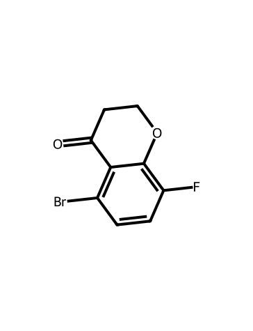 O=C1CCOc2c(F)ccc(Br)c21